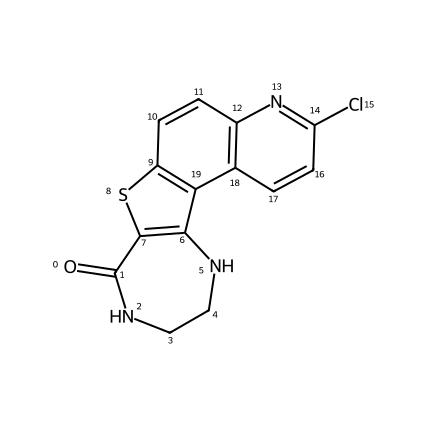 O=C1NCCNc2c1sc1ccc3nc(Cl)ccc3c21